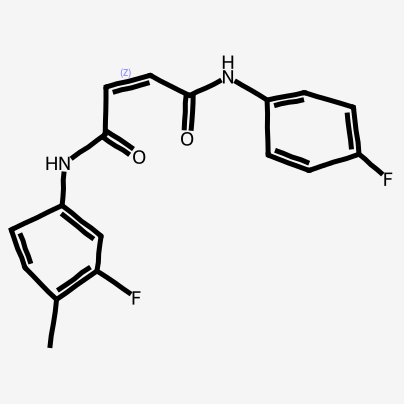 Cc1ccc(NC(=O)/C=C\C(=O)Nc2ccc(F)cc2)cc1F